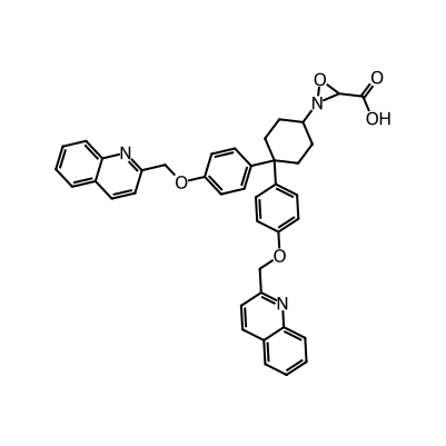 O=C(O)C1ON1C1CCC(c2ccc(OCc3ccc4ccccc4n3)cc2)(c2ccc(OCc3ccc4ccccc4n3)cc2)CC1